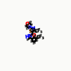 CC(NC(=O)c1sc(N2CCOCC2)nc1C(F)(F)F)c1cccc(C(F)(F)F)c1